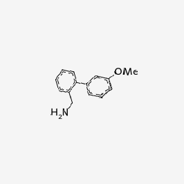 COc1cccc(-c2ccccc2CN)c1